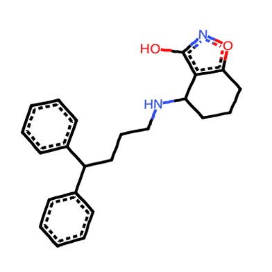 Oc1noc2c1C(NCCCC(c1ccccc1)c1ccccc1)CCC2